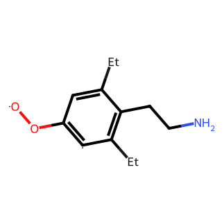 CCc1[c]c(O[O])cc(CC)c1CCN